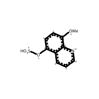 COc1ccc(OS(=O)(=O)O)c2cccnc12